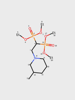 CCOP(=O)(OCC)C(CN1CCCC(C)C1)P(=O)(OCC)OCC